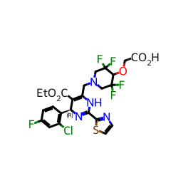 CCOC(=O)C1=C(CN2CC(F)(F)C(OCC(=O)O)C(F)(F)C2)NC(c2nccs2)=N[C@H]1c1ccc(F)cc1Cl